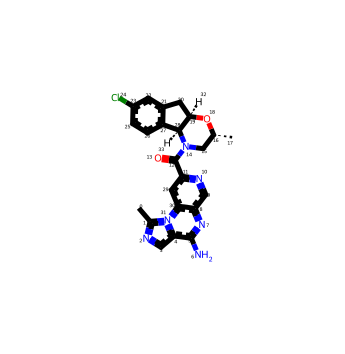 Cc1ncc2c(N)nc3cnc(C(=O)N4C[C@@H](C)O[C@@H]5Cc6cc(Cl)ccc6[C@@H]54)cc3n12